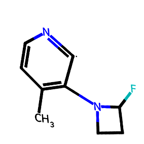 Cc1ccn[c]c1N1CCC1F